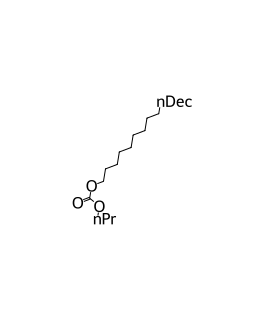 CCCCCCCCCCCCCCCCCCCOC(=O)OCCC